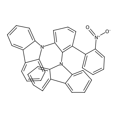 O=[N+]([O-])c1ccccc1-c1cccc(-n2c3ccccc3c3ccccc32)c1-n1c2ccccc2c2ccccc21